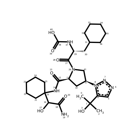 CC(C)(O)c1cnnn1[C@H]1C[C@@H](C(=O)NC2(C(O)C(N)=O)CCCCC2)N(C(=O)[C@@H](CC2CCCCC2)NC(=O)O)C1